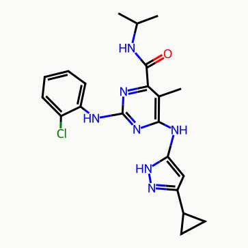 Cc1c(Nc2cc(C3CC3)n[nH]2)nc(Nc2ccccc2Cl)nc1C(=O)NC(C)C